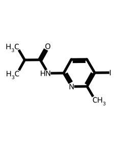 Cc1nc(NC(=O)C(C)C)ccc1I